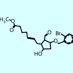 COC(=O)CCC/C=C/CC1C(O)CC(OCc2ccccc2Br)C1C=O